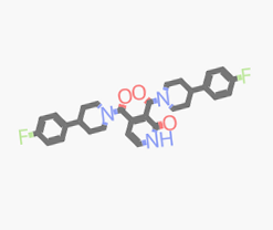 O=C(c1cc[nH]c(=O)c1C(=O)N1CCC(c2ccc(F)cc2)CC1)N1CCC(c2ccc(F)cc2)CC1